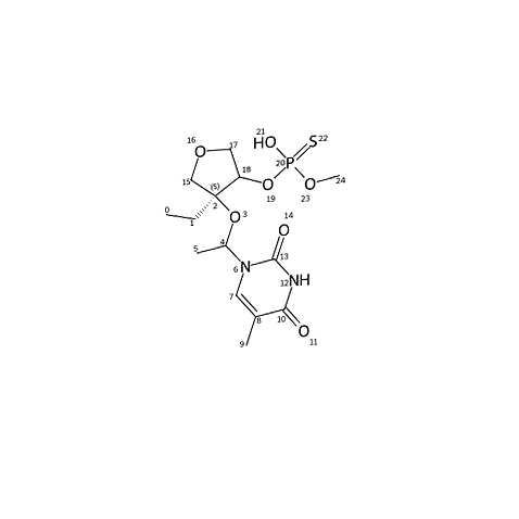 CC[C@]1(OC(C)n2cc(C)c(=O)[nH]c2=O)COCC1OP(O)(=S)OC